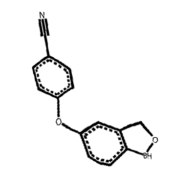 N#Cc1ccc(Oc2ccc3c(c2)COB3)cc1